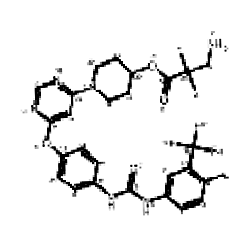 Cc1ccc(NC(=O)Nc2ccc(Oc3cc(N4CCC(OC(=O)C(C)(C)CN)CC4)ncn3)cc2)cc1C(F)(F)F